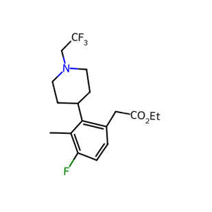 CCOC(=O)Cc1ccc(F)c(C)c1C1CCN(CC(F)(F)F)CC1